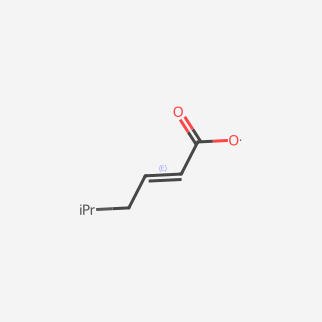 CC(C)C/C=C/C([O])=O